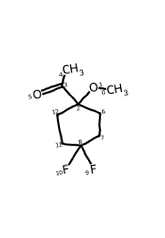 COC1(C(C)=O)CCC(F)(F)CC1